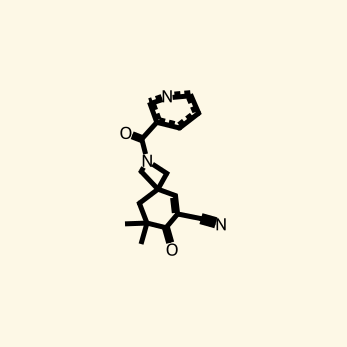 CC1(C)CC2(C=C(C#N)C1=O)CN(C(=O)c1cccnc1)C2